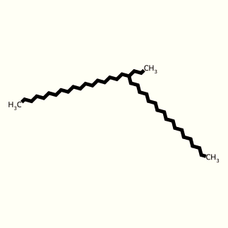 CCCCCCCCCCCCCCCCCCC(CCC)CCCCCCCCCCCCCCCCCC